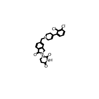 O=C1CCN(N2Cc3cc(CN4CC=C(c5cccc(Cl)c5Cl)CC4)ccc3C2=O)C(=O)N1